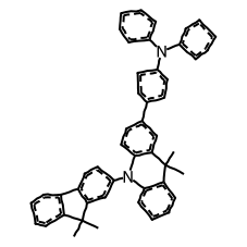 CC1(C)c2ccccc2-c2ccc(N3c4ccccc4C(C)(C)c4cc(-c5ccc(N(c6ccccc6)c6ccccc6)cc5)ccc43)cc21